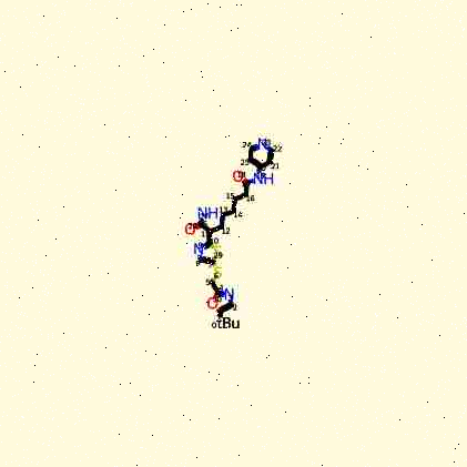 CC(C)(C)c1cnc(CSc2cnc(C(CCCCCC(=O)Nc3ccncc3)C(N)=O)s2)o1